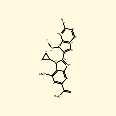 COC(=O)c1cc(OC)c2c(c1)nc(-c1cc3ccc(C(C)=O)nc3n1SF)n2C1CC1